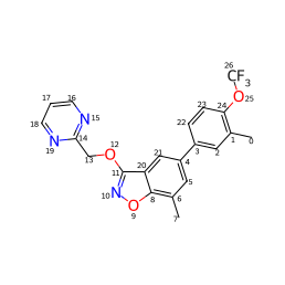 Cc1cc(-c2cc(C)c3onc(OCc4ncccn4)c3c2)ccc1OC(F)(F)F